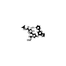 CCC[C@H](NC(=O)C1CC(Oc2cc(-c3ccccn3)nc3ccsc23)CN1C(=O)OC(C)(C)C)C(O)C(=O)NC1CC1